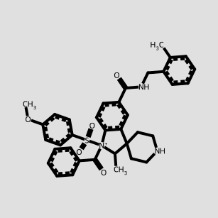 COc1ccc(S(=O)(=O)[N+]2(C(=O)c3ccccc3)c3ccc(C(=O)NCc4ccccc4C)cc3C3(CCNCC3)C2C)cc1